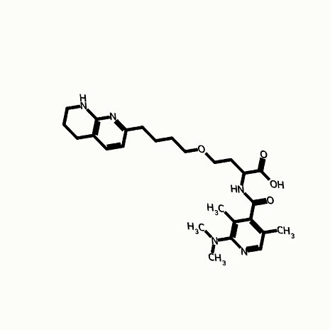 Cc1cnc(N(C)C)c(C)c1C(=O)NC(CCOCCCCc1ccc2c(n1)NCCC2)C(=O)O